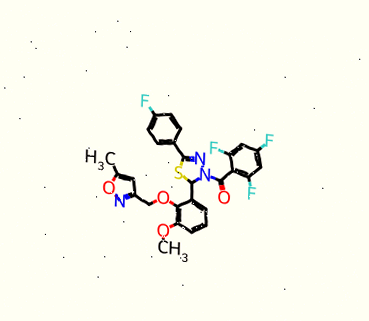 COc1cccc(C2SC(c3ccc(F)cc3)=NN2C(=O)c2c(F)cc(F)cc2F)c1OCc1cc(C)on1